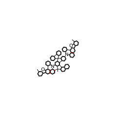 Cc1cccc2c1oc1c(-c3ccccc3N(c3ccccc3)c3ccc4c(c3)C3(c5ccccc5-c5ccccc53)c3cc(N(c5ccccc5)c5ccccc5-c5cccc6c5oc5c(C)cccc56)c5c(c3-4)-c3c(ccc4ccccc34)C5(C)C)cccc12